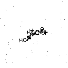 CC(C)(C)OC(=O)N1CCC(O)(CNC23CC(CO)(C2)C3)CC1